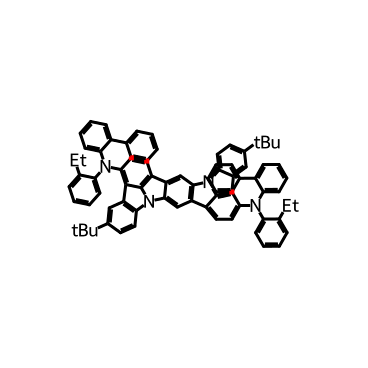 CCc1ccccc1N(c1ccccc1-c1ccccc1)c1ccc2c3cc4c(cc3n3c5ccc(C(C)(C)C)cc5c1c23)c1ccc(N(c2ccccc2CC)c2ccccc2-c2ccccc2)c2c3cc(C(C)(C)C)ccc3n4c12